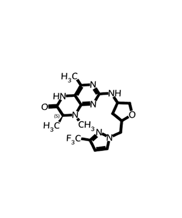 Cc1nc(NC2COC(Cn3ccc(C(F)(F)F)n3)C2)nc2c1NC(=O)[C@H](C)N2C